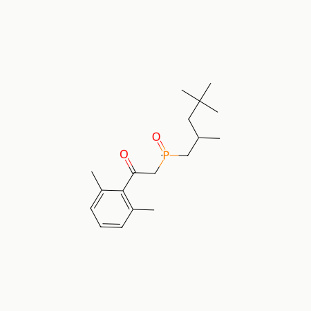 Cc1cccc(C)c1C(=O)C[P](=O)CC(C)CC(C)(C)C